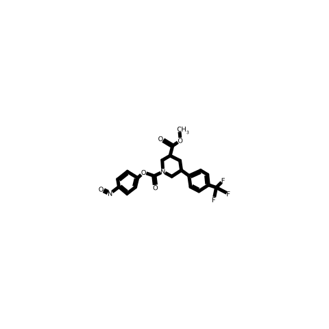 COC(=O)C1CC(c2ccc(C(F)(F)F)cc2)CN(C(=O)Oc2ccc(N=O)cc2)C1